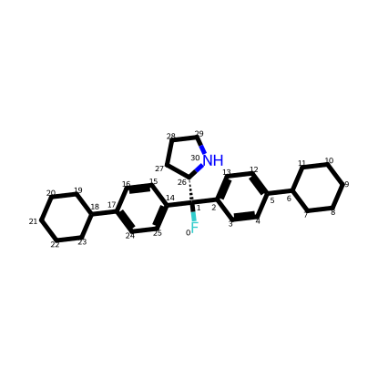 FC(c1ccc(C2CCCCC2)cc1)(c1ccc(C2CCCCC2)cc1)[C@@H]1CCCN1